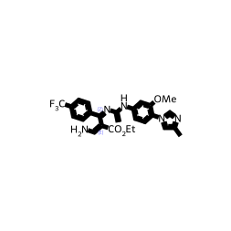 C=C(/N=C(\C(=C/N)C(=O)OCC)c1ccc(C(F)(F)F)cc1)Nc1ccc(-n2cnc(C)c2)c(OC)c1